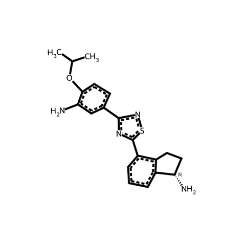 CC(C)Oc1ccc(-c2nsc(-c3cccc4c3CC[C@@H]4N)n2)cc1N